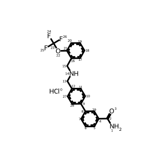 Cl.NC(=O)c1cccc(-c2ccc(CNCc3ccccc3OC(F)(F)F)cc2)c1